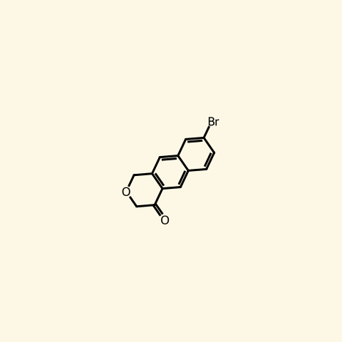 O=C1COCc2cc3cc(Br)ccc3cc21